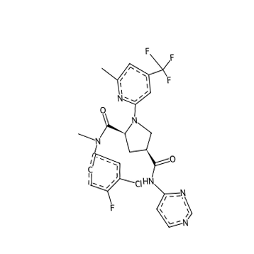 Cc1cc(C(F)(F)F)cc(N2C[C@@H](C(=O)Nc3ccncn3)C[C@H]2C(=O)N(C)c2ccc(F)c(Cl)c2)n1